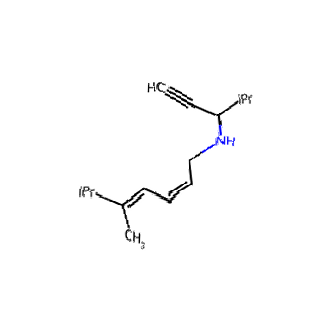 C#CC(NC/C=C\C=C(/C)C(C)C)C(C)C